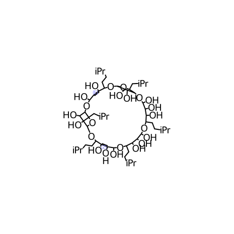 CC(C)CCC1OC2OC3(CC(C)C)C(OC(O)/C=C(/O)C(CCC(C)C)OC4OC(CC(C)C)C(OC(O)C(O)C(O)C(CCC(C)C)OC(O)C(O)C(O)C(CCC(C)C)OC(O)/C(O)=C\1O)C(O)C4O)C(O)C23O